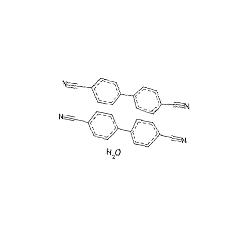 N#Cc1ccc(-c2ccc(C#N)cc2)cc1.N#Cc1ccc(-c2ccc(C#N)cc2)cc1.O